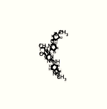 C=CCn1c(=O)c2cnc(Nc3ccc4nn(C)cc4c3)nc2n1-c1cccc(OC2CCN(C)CC2)n1